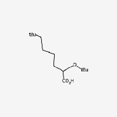 CC(C)(C)CCCCC(OC(C)(C)C)C(=O)O